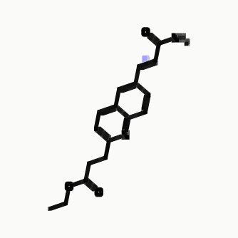 CCOC(=O)CCc1ccc2cc(/C=C/C(N)=O)ccc2n1